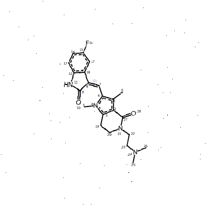 Cc1c2c(n(C)c1/C=C1\C(=O)Nc3ccc(F)cc31)CCN(CCN(C)C)C2=O